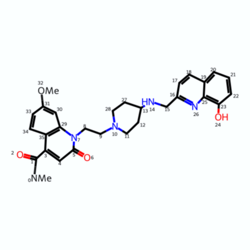 CNC(=O)c1cc(=O)n(CCN2CCC(NCc3ccc4cccc(O)c4n3)CC2)c2cc(OC)ccc12